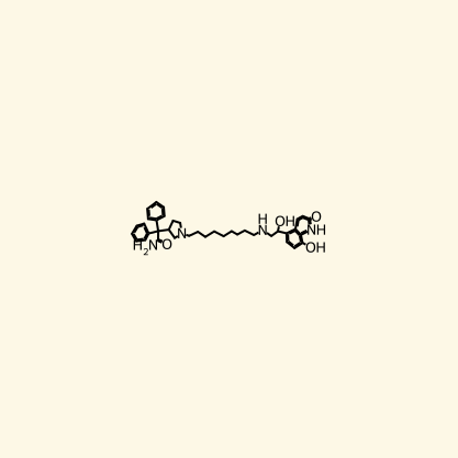 NC(=O)C(c1ccccc1)(c1ccccc1)C1CCN(CCCCCCCCCNCC(O)c2ccc(O)c3[nH]c(=O)ccc23)C1